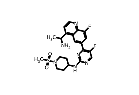 CC(N)c1ccnc2c(F)cc(-c3nc(NC4CCN(S(C)(=O)=O)CC4)ncc3F)cc12